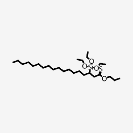 CCCCCCCCCCCCCCCC(CC(=S)OCCC)[Si](OCC)(OCC)OCC